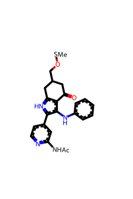 CSOCC1CC(=O)c2c([nH]c(-c3ccnc(NC(C)=O)c3)c2Nc2ccccc2)C1